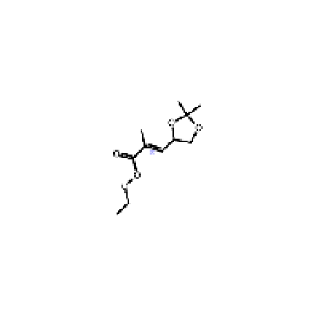 CCOOC(=O)/C(C)=C/C1COC(C)(C)O1